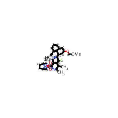 C#Cc1cccc2cc(OCOC)cc(-c3ncc4c(N5CC6CCC(C5)N6C(=O)OC(C)(C)C)nc(C)c(C)c4c3F)c12